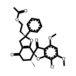 COc1cc(OC)c2c(c1Cl)O[C@]1(C2=O)C2=C(C[C@](CCOC(C)=O)(c3ccccc3)O2)C(=O)C[C@H]1C